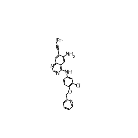 C[C](C)C#Cc1cc2ncnc(Nc3ccc(OCc4ccccn4)c(Cl)c3)c2cc1N